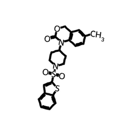 Cc1ccc2c(c1)COC(=O)N2C1CCN(S(=O)(=O)c2cc3ccccc3s2)CC1